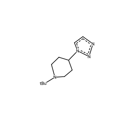 CC(C)(C)N1CCC(n2ccnn2)CC1